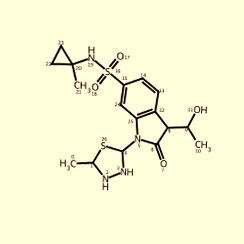 CC1NNC(N2C(=O)C(C(C)O)c3ccc(S(=O)(=O)NC4(C)CC4)cc32)S1